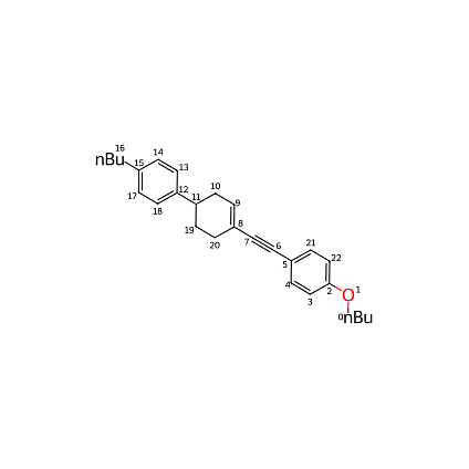 CCCCOc1ccc(C#CC2=CCC(c3ccc(CCCC)cc3)CC2)cc1